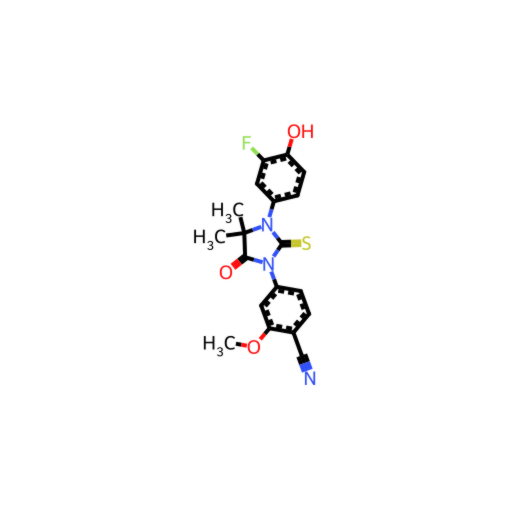 COc1cc(N2C(=O)C(C)(C)N(c3ccc(O)c(F)c3)C2=S)ccc1C#N